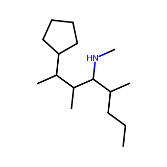 CCCC(C)C(NC)C(C)C(C)C1CCCC1